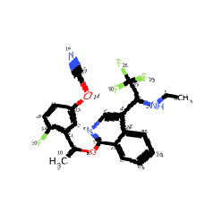 CCNC(c1cnc(OC(C)c2cc(OC#N)ccc2F)c2ccccc12)C(F)(F)F